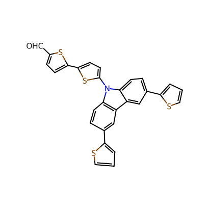 O=Cc1ccc(-c2ccc(-n3c4ccc(-c5cccs5)cc4c4cc(-c5cccs5)ccc43)s2)s1